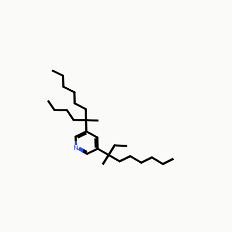 CCCCCCC(C)(CC)c1cncc(C(C)(CCCC)CCCCCC)c1